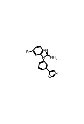 Nc1nc2ccc(Br)cc2n1-c1cccc(-c2cnco2)c1